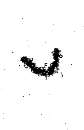 O=C1c2ccc(Oc3ccc(C(c4ccc(Oc5ccc(C(c6ccc(Oc7ccc8c(c7)C(=O)N(c7ccccc7)C8=O)cc6)(C(F)(F)F)C(F)(F)F)cc5)cc4)(C(F)(F)F)C(F)(F)F)cc3)cc2C(=O)N1c1ccccc1